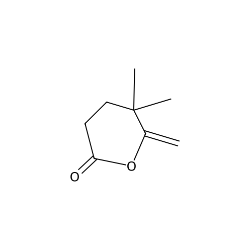 C=C1OC(=O)CCC1(C)C